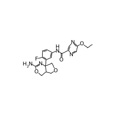 CCOc1cnc(C(=O)Nc2ccc(F)c(C34COCC3COC(N)=N4)c2)cn1